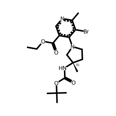 CCOC(=O)c1cnc(C)c(Br)c1N1CC[C@](C)(NC(=O)OC(C)(C)C)C1